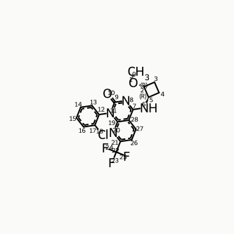 CO[C@@H]1CC[C@H]1Nc1nc(=O)n(-c2ccccc2Cl)c2nc(C(F)(F)F)ccc12